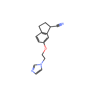 N#CC1CCc2ccc(OCCn3ccnc3)cc21